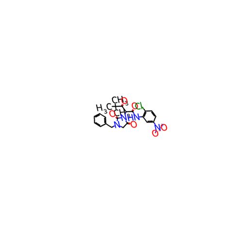 CC(C)(C)C(=O)C(C(=O)Nc1cc([N+](=O)[O-])ccc1Cl)N1C(=O)CN(Cc2ccccc2)C1=O